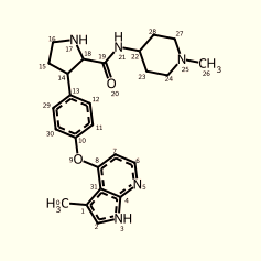 Cc1c[nH]c2nccc(Oc3ccc(C4CCNC4C(=O)NC4CCN(C)CC4)cc3)c12